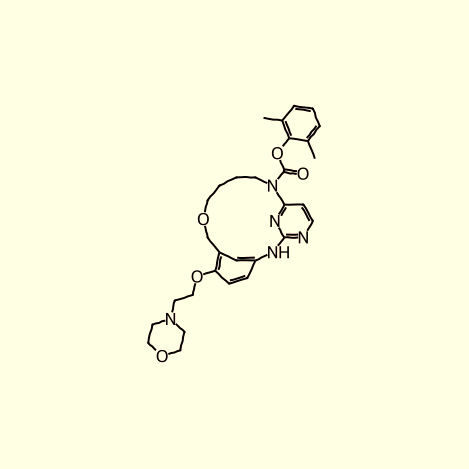 Cc1cccc(C)c1OC(=O)N1CCCCOCc2cc(ccc2OCCN2CCOCC2)Nc2nccc1n2